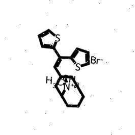 C[N+]1(C)C2CCCC1CC(C=C(c1cccs1)c1cccs1)C2.[Br-]